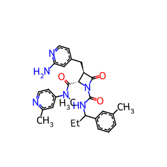 CCC(NC(=O)N1C(=O)[C@H](Cc2ccnc(N)c2)[C@H]1C(=O)N(C)c1ccnc(C)c1)c1cccc(C)c1